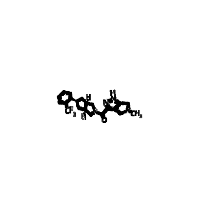 CN1Cc2[nH]nc(C(=O)N3C[C@H]4C[C@@H](c5ccccc5C(F)(F)F)C[C@H]4C3)c2C1